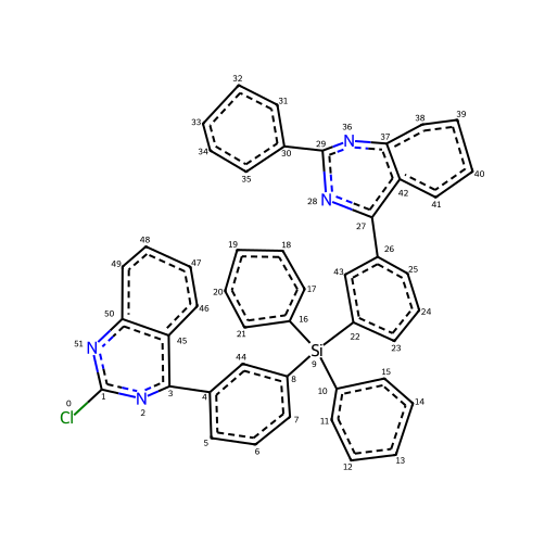 Clc1nc(-c2cccc([Si](c3ccccc3)(c3ccccc3)c3cccc(-c4nc(-c5ccccc5)nc5ccccc45)c3)c2)c2ccccc2n1